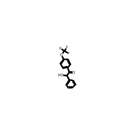 O=C(c1ccc(OC(F)(F)F)cc1)C(O)c1ccccc1